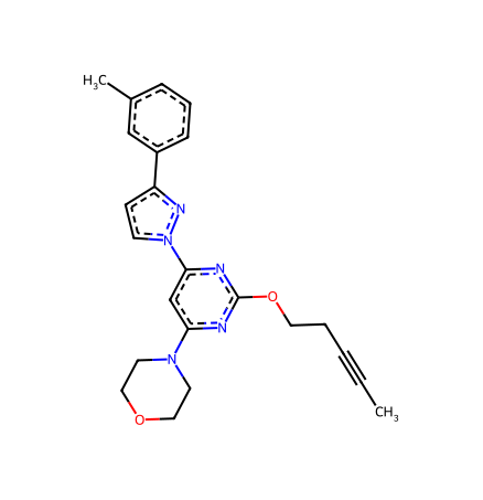 CC#CCCOc1nc(N2CCOCC2)cc(-n2ccc(-c3cccc(C)c3)n2)n1